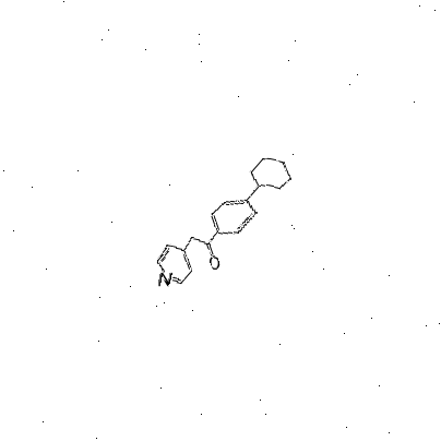 O=C(Cc1ccncc1)c1ccc(C2CCCCC2)cc1